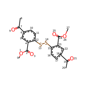 COC(=O)c1cc(C(C)=O)ccc1SSc1ccc(C(C)=O)cc1C(=O)OC